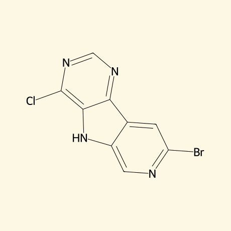 Clc1ncnc2c1[nH]c1cnc(Br)cc12